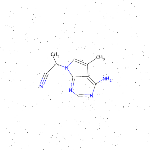 Cc1cn(C(C)C#N)c2ncnc(N)c12